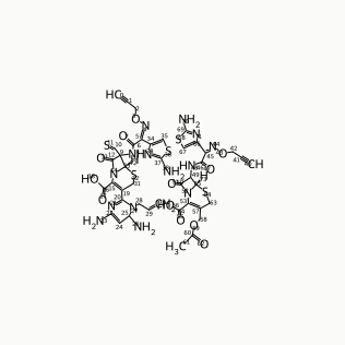 C#CCO/N=C(\C(=O)NC1(C=S)C(=O)N2C(C(=O)O)=C(C3=NC(N)=CC(N)N3CC=C)CS[C@H]21)c1csc(N)n1.C#CCO/N=C(\C(=O)NC1C(=O)N2C(C(=O)O)=C(COC(C)=O)CS[C@@H]12)c1csc(N)n1